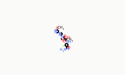 COc1cc(-n2ccc(N3CCO[C@H]([C@@](C)(O)C(=O)Nc4cc(F)c5c(N)noc5c4)C3=O)n2)cnn1